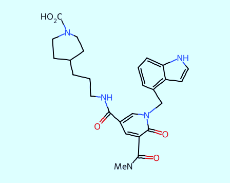 CNC(=O)c1cc(C(=O)NCCCC2CCN(C(=O)O)CC2)cn(Cc2cccc3[nH]ccc23)c1=O